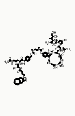 CC[C@H](C)[C@@H]1NC(=O)CNCOc2c([nH]c3cc(OC(=O)N(C)CCN(C)C(=O)OCc4ccc(NC(=O)[C@H](CCCNC(N)=O)NC(=O)[C@@H](NC(=O)CCCn5nnc6c5C/C5=C/C=C\C=C/C(=C5)C6)C(C)C)cc4)ccc23)[S+]([O-])C[C@@H](C(=O)N[C@@H](CC(N)=O)C(=O)N2C[C@H](O)C[C@H]2C(=O)N[C@H](C(N)=O)[C@@H](C)[C@@H](O)CO)NC(=O)CNC1=O